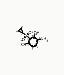 Nc1ccc(Cl)c(S(=O)(=O)C2CC2)c1O